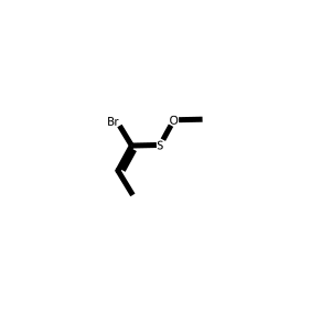 C/C=C(/Br)SOC